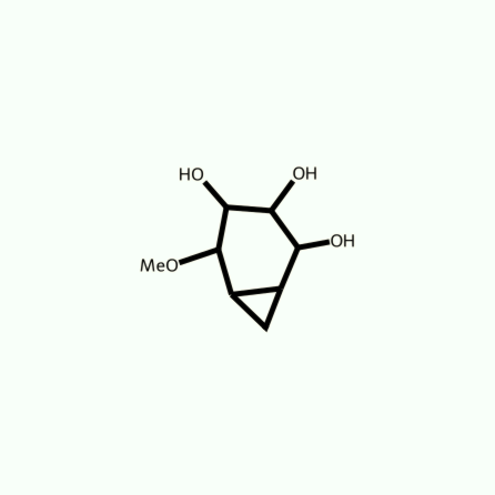 COC1C(O)C(O)C(O)C2CC21